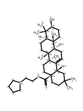 CC1(C)CC[C@]2(C(=S)OCCN3CCCC3)CC[C@]3(C)C(=CC[C@@H]4[C@@]5(C)CC[C@H](O)C(C)(C)[C@@H]5CC[C@]43C)[C@@H]2C1